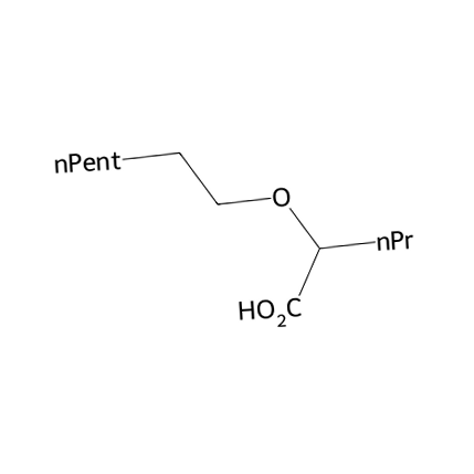 CCCCCCCOC(CCC)C(=O)O